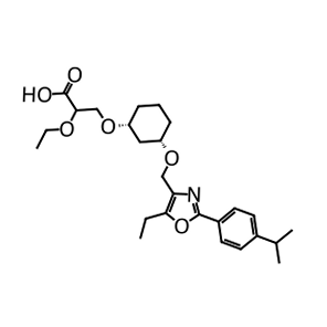 CCOC(CO[C@@H]1CCC[C@H](OCc2nc(-c3ccc(C(C)C)cc3)oc2CC)C1)C(=O)O